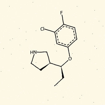 CC[C@H](Oc1ccc(F)c(Cl)c1)[C@H]1CCNC1